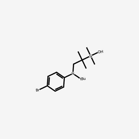 CC(C)(C)N(CC(C)(C)[Si](C)(C)O)c1ccc(Br)cc1